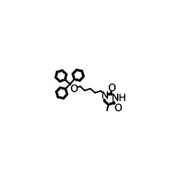 Cc1cn(CCCCCOC(c2ccccc2)(c2ccccc2)c2ccccc2)c(=O)[nH]c1=O